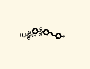 NS(=O)(=O)Nc1cccc(S(=O)(=O)c2ccc(C=Cc3ccc(F)cc3)cc2)c1